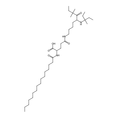 CCCCCCCCCCCCCCCC(=O)NC(CCC(=O)NCCCCC(NC(C)(CC)CC)C(=O)C(C)(C)CC)C(=O)O